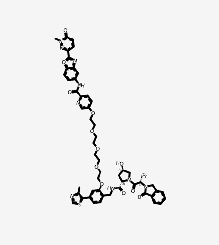 Cc1ncsc1-c1ccc(CNC(=O)[C@@H]2C[C@@H](O)CN2C(=O)[C@H](C(C)C)N2Cc3ccccc3C2=O)c(OCCOCCOCCOCCOc2ccc(C(=O)Nc3ccc4oc(-c5ccc(=O)n(C)n5)nc4c3)nc2)c1